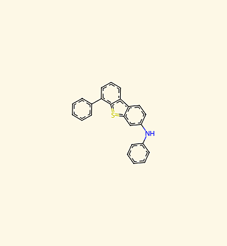 c1ccc(Nc2ccc3c(c2)sc2c(-c4ccccc4)cccc23)cc1